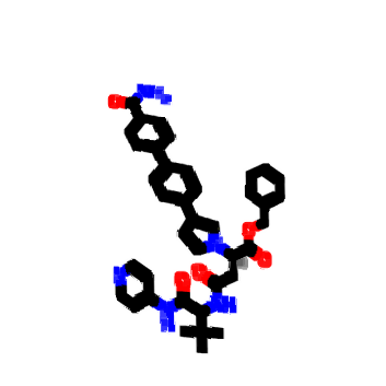 CC(C)(C)C(NC(=O)C[C@H](C(=O)OCc1ccccc1)n1ccc(-c2ccc(-c3ccc(C(N)=O)cc3)cc2)c1)C(=O)Nc1ccncc1